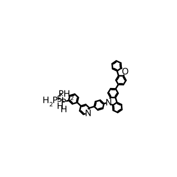 P[SiH](P)Pc1cccc(-c2ccnc(-c3ccc(-n4c5ccccc5c5cc(-c6ccc7oc8ccccc8c7c6)ccc54)cc3)c2)c1